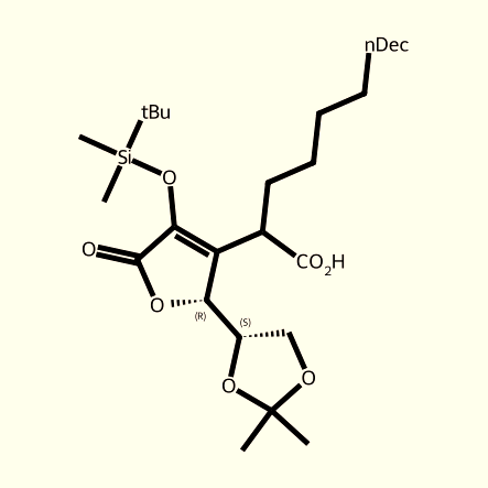 CCCCCCCCCCCCCCC(C(=O)O)C1=C(O[Si](C)(C)C(C)(C)C)C(=O)O[C@H]1[C@@H]1COC(C)(C)O1